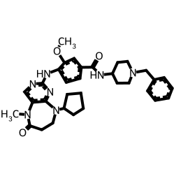 COc1cc(C(=O)NC2CCN(Cc3ccccc3)CC2)ccc1Nc1ncc2c(n1)N(C1CCCC1)CCC(=O)N2C